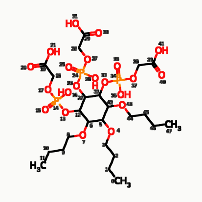 CCCCOC1C(OCCCC)C(OP(=O)(O)OCC(=O)O)C(OP(=O)(O)OCC(=O)O)C(OP(=O)(O)OCC(=O)O)C1OCCCC